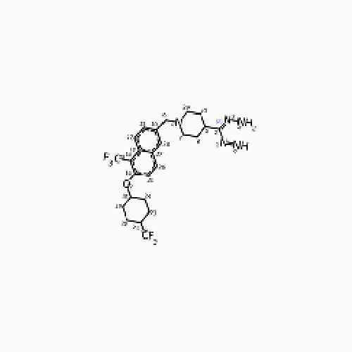 N=N/C(=N\N)C1CCN(Cc2ccc3c(C(F)(F)F)c(OC4CCC(C(F)(F)F)CC4)ccc3c2)CC1